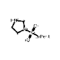 CCCCCS(=O)(=O)N1[CH]NCC1